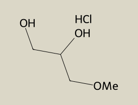 COCC(O)CO.Cl